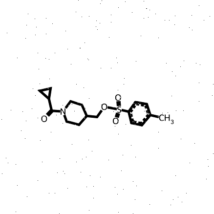 Cc1ccc(S(=O)(=O)OCC2CCN(C(=O)C3CC3)CC2)cc1